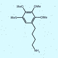 COc1c(CCCCN)cc(SC)c(OC)c1OC